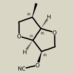 C[C@@H]1CO[C@H]2[C@@H]1OC[C@H]2OC#N